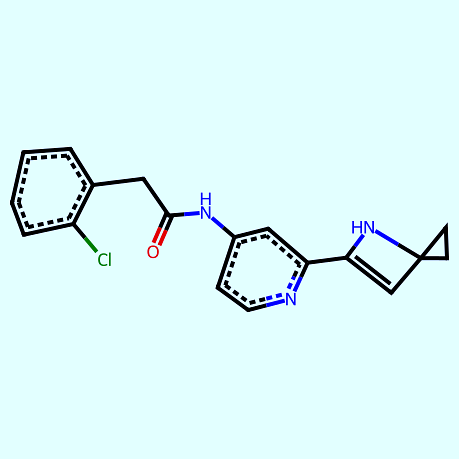 O=C(Cc1ccccc1Cl)Nc1ccnc(C2=CC3(CC3)N2)c1